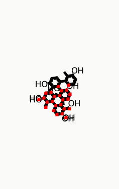 Cc1c(O)cccc1-c1ccc(O)c(C)c1-c1ccc(O)c(C)c1-c1ccc(O)c(C)c1-c1ccc(O)c(C)c1-c1ccc(O)c(C)c1-c1ccc(O)c(C)c1-c1ccc(O)c(C)c1-c1cccc(O)c1C